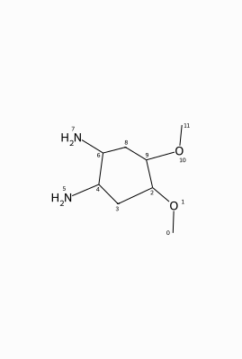 COC1CC(N)C(N)CC1OC